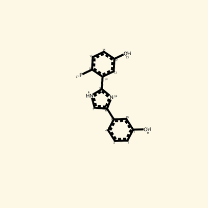 Oc1cccc(-c2c[nH]c(-c3cc(O)ccc3F)n2)c1